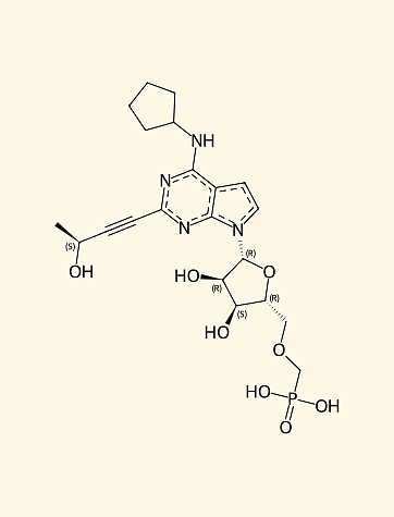 C[C@H](O)C#Cc1nc(NC2CCCC2)c2ccn([C@@H]3O[C@H](COCP(=O)(O)O)[C@@H](O)[C@H]3O)c2n1